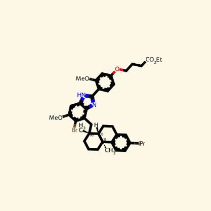 CCOC(=O)CCCOc1ccc(-c2nc3c(C[C@@]4(C)CCC[C@]5(C)c6ccc(C(C)C)cc6CC[C@@H]45)c(Br)c(OC)cc3[nH]2)c(OC)c1